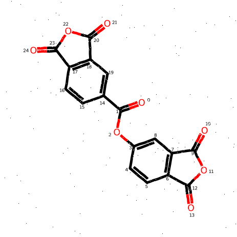 O=C(Oc1ccc2c(c1)C(=O)OC2=O)c1ccc2c(c1)C(=O)OC2=O